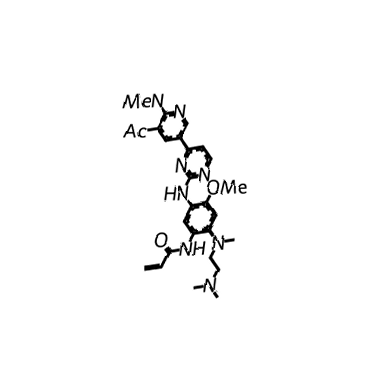 C=CC(=O)Nc1cc(Nc2nccc(-c3cnc(NC)c(C(C)=O)c3)n2)c(OC)cc1N(C)CCN(C)C